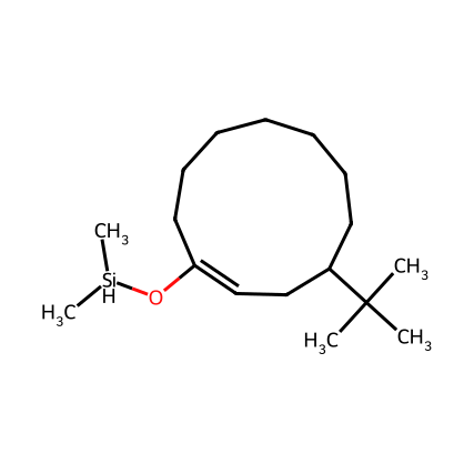 C[SiH](C)OC1=CCC(C(C)(C)C)CCCCCCC1